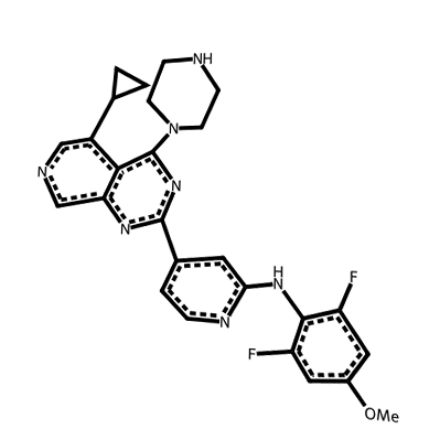 COc1cc(F)c(Nc2cc(-c3nc(N4CCNCC4)c4c(C5CC5)cncc4n3)ccn2)c(F)c1